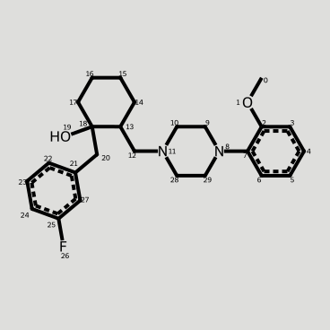 COc1ccccc1N1CCN(CC2CCCCC2(O)Cc2cccc(F)c2)CC1